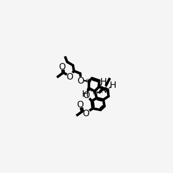 CCCC(CO[C@H]1C=C[C@H]2[C@H]3Cc4ccc(OC(C)=O)c5c4[C@@]2(CCN3C)[C@H]1O5)OC(C)=O